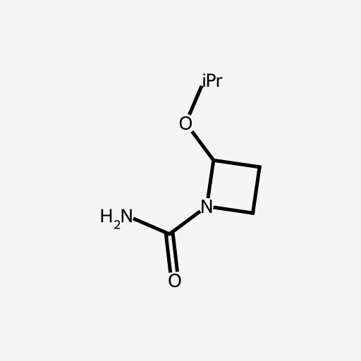 CC(C)OC1CCN1C(N)=O